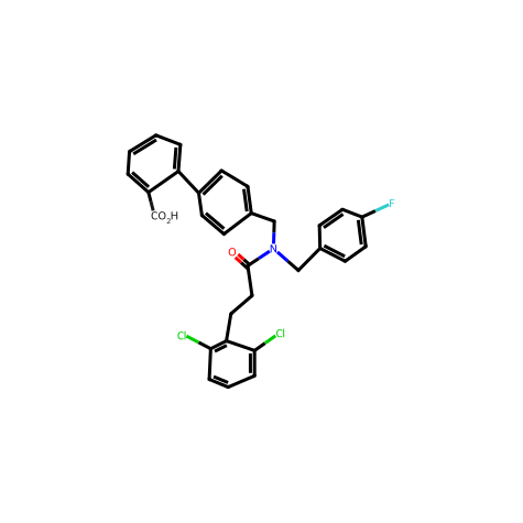 O=C(O)c1ccccc1-c1ccc(CN(Cc2ccc(F)cc2)C(=O)CCc2c(Cl)cccc2Cl)cc1